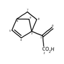 C=C(C(=O)O)C12C=CC(CC1)C2